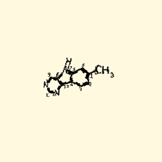 Cc1ccc2c(c1)[nH]c1cncnc12